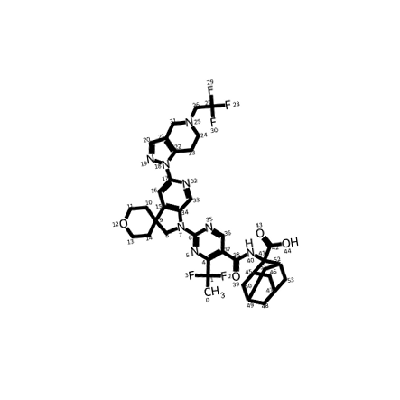 CC(F)(F)c1nc(N2CC3(CCOCC3)c3cc(-n4ncc5c4CCN(CC(F)(F)F)C5)ncc32)ncc1C(=O)NC1(C(=O)O)C2CC3CC(C2)CC1C3